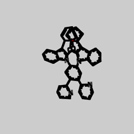 C1=CC2Oc3c(c4ccccc4n3-c3cc(-c4ccccn4)c(-c4ccccn4)cc3-n3c4ccccc4c4c5ccccc5oc43)C2C=C1